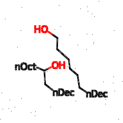 CCCCCCCCCCCC(O)CCCCCCCC.CCCCCCCCCCCCCCCCO